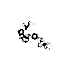 CCC(O)C[C@H]1CCc2sc3ncnc(N[C@H]4CC[C@H](NC(=O)OC(C)(C)C)CC4)c3c21